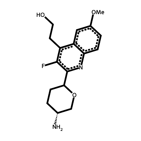 COc1ccc2nc(C3CC[C@@H](N)CO3)c(F)c(CCO)c2c1